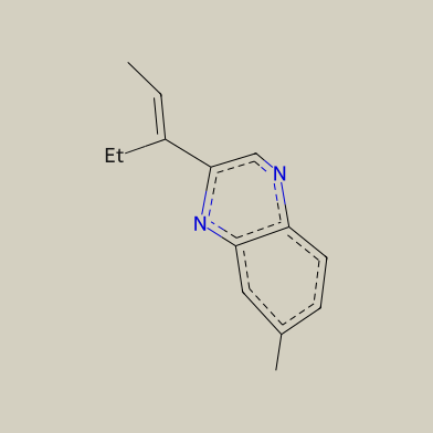 C/C=C(\CC)c1cnc2ccc(C)cc2n1